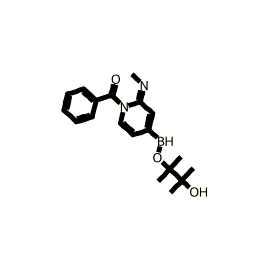 C/N=c1/cc(BOC(C)(C)C(C)(C)O)ccn1C(=O)c1ccccc1